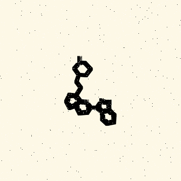 c1cc(CCC2CCCNC2)c2nc(-c3nnc4ccccn34)ccc2c1